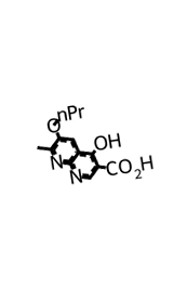 CCCOc1cc2c(O)c(C(=O)O)cnc2nc1C